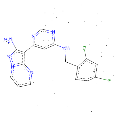 Nc1nn2cccnc2c1-c1cc(NCc2ccc(F)cc2Cl)ncn1